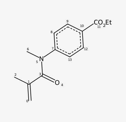 C=C(C)C(=O)N(C)c1ccc(C(=O)OCC)cc1